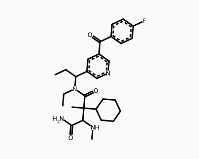 CCC(c1cncc(C(=O)c2ccc(F)cc2)c1)N(CC)C(=O)C(C)(C1CCCCC1)C(NC)C(N)=O